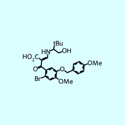 COc1ccc(COc2cc(C(=O)C(=CNC(CO)C(C)(C)C)C(=O)O)c(Br)cc2OC)cc1